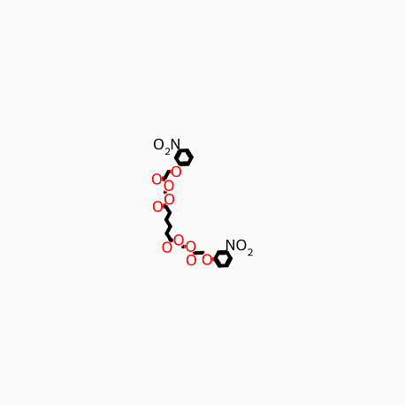 O=C(CCCCC(=O)OCOC(=O)COc1cccc([N+](=O)[O-])c1)OCOC(=O)COc1cccc([N+](=O)[O-])c1